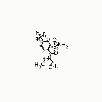 CCN(CC)C(=O)c1ccc(C(F)(F)F)cc1S(N)(=O)=O